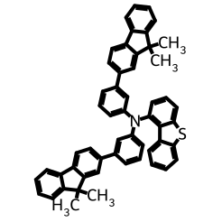 CC1(C)c2ccccc2-c2ccc(-c3cccc(N(c4cccc(-c5ccc6c(c5)C(C)(C)c5ccccc5-6)c4)c4cccc5sc6ccccc6c45)c3)cc21